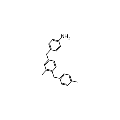 Cc1ccc(Cc2ccc(Cc3ccc(N)cc3)cc2C)cc1